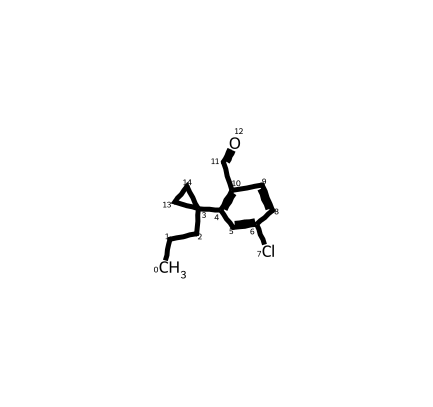 CCCC1(c2cc(Cl)ccc2C=O)CC1